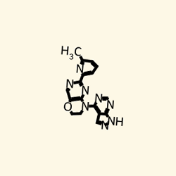 Cc1cccc(-c2ncc3c(n2)N(c2ncnc4[nH]ncc24)CCO3)n1